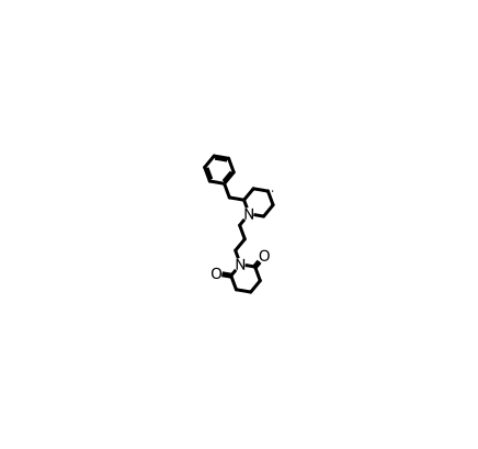 O=C1CCCC(=O)N1CCCN1CC[CH]CC1Cc1ccccc1